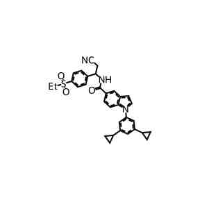 CCS(=O)(=O)c1ccc(C(CC#N)NC(=O)c2ccc3c(ccn3-c3cc(C4CC4)cc(C4CC4)c3)c2)cc1